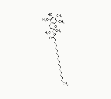 CCCCCCCCCCCCCCCCCC(=O)OC(C)C1(C)CCc2c(C)c(O)c(C)c(C)c2O1